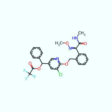 CNC(=O)C(=NOC)c1ccccc1COc1ncc(C(OC(=O)C(F)(F)F)c2ccccc2)cc1Cl